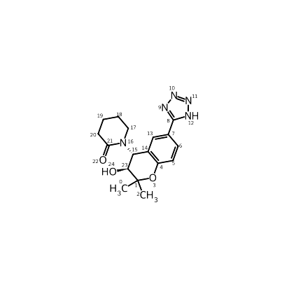 CC1(C)Oc2ccc(-c3nnn[nH]3)cc2[C@@H](N2CCCCC2=O)[C@@H]1O